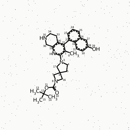 Cc1c(N2CCC3(CN(C(=O)OC(C)(C)C)C3)C2)nc2c(c1-c1cccc3cc(O)ccc13)CCNC2